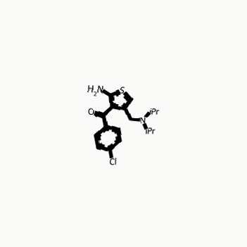 CC(C)N(Cc1csc(N)c1C(=O)c1ccc(Cl)cc1)C(C)C